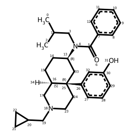 CC(C)CN(C(=O)c1ccccc1)[C@@H]1CC[C@@H]2CN(CC3CC3)CC[C@@]2(c2cccc(O)c2)C1